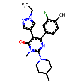 CC1CCN(c2nc(-c3ccc(C#N)c(F)c3)c(-c3cnn(CC(F)(F)F)c3)c(=O)n2C)CC1